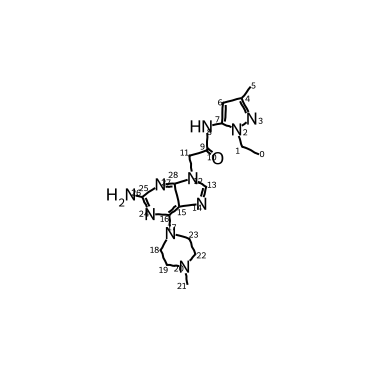 CCn1nc(C)cc1NC(=O)Cn1cnc2c(N3CCN(C)CC3)nc(N)nc21